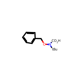 CC(C)(C)N(OCc1ccccc1)C(=O)O